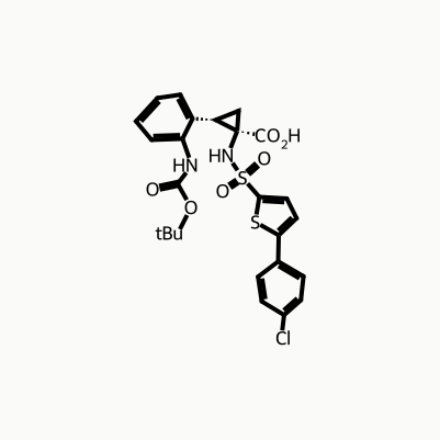 CC(C)(C)OC(=O)Nc1ccccc1[C@@H]1C[C@]1(NS(=O)(=O)c1ccc(-c2ccc(Cl)cc2)s1)C(=O)O